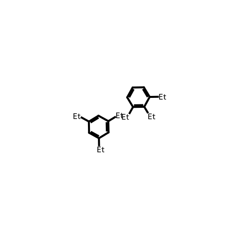 CCc1cc(CC)cc(CC)c1.CCc1cccc(CC)c1CC